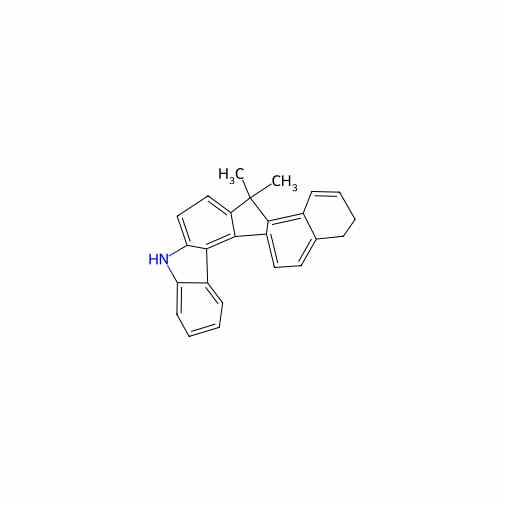 CC1(C)c2ccc3[nH]c4ccccc4c3c2-c2ccc3c(c21)C=CCC3